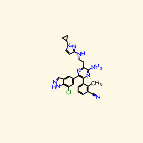 Cc1c(C#N)cccc1-c1nc(N)c(CCNc2ccn(C3CC3)n2)nc1-c1cc(Cl)c2[nH]ncc2c1